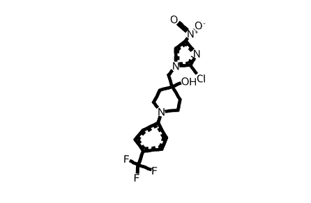 O=[N+]([O-])c1cn(CC2(O)CCN(c3ccc(C(F)(F)F)cc3)CC2)c(Cl)n1